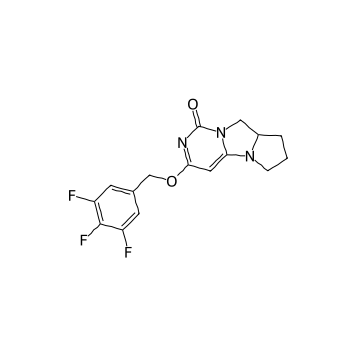 O=c1nc(OCc2cc(F)c(F)c(F)c2)cc2n1CC1CCCN21